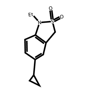 CCN1c2ccc(C3CC3)cc2CS1(=O)=O